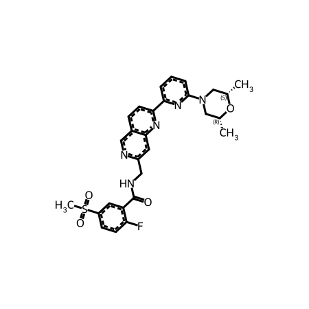 C[C@@H]1CN(c2cccc(-c3ccc4cnc(CNC(=O)c5cc(S(C)(=O)=O)ccc5F)cc4n3)n2)C[C@H](C)O1